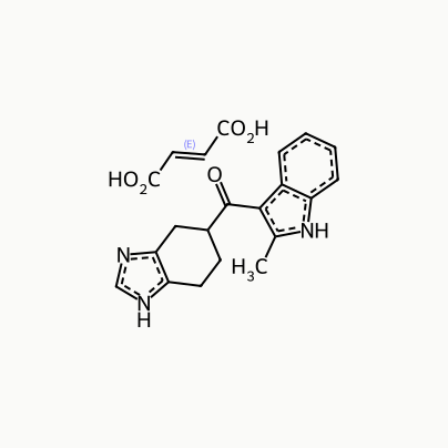 Cc1[nH]c2ccccc2c1C(=O)C1CCc2[nH]cnc2C1.O=C(O)/C=C/C(=O)O